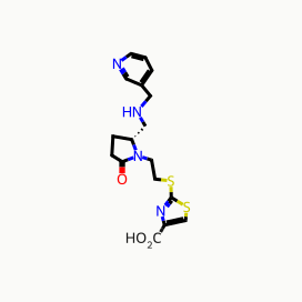 O=C(O)c1csc(SCCN2C(=O)CC[C@@H]2CNCc2cccnc2)n1